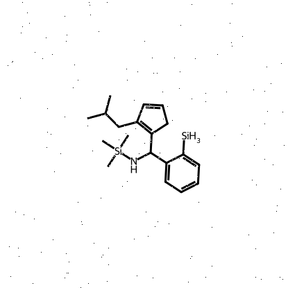 CC(C)CC1=C(C(N[Si](C)(C)C)c2ccccc2[SiH3])CC=C1